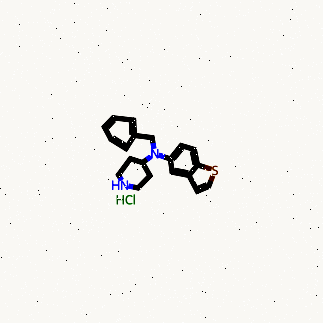 Cl.c1ccc(CN(c2ccc3sccc3c2)C2CCNCC2)cc1